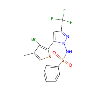 Cc1csc(-c2cc(C(F)(F)F)nn2NS(=O)(=O)c2ccccc2)c1Br